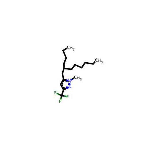 CCCCCCC(CCCC)Cc1cc(C(F)(F)F)nn1C